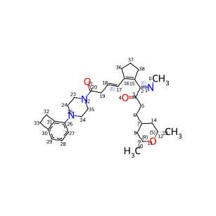 C/N=C(/C(=O)CCC1C[C@@H](C)O[C@@H](C)C1)C1=C(/C=C/CC(=O)N2CCN(c3cccc4c3CC4)CC2)CCC1